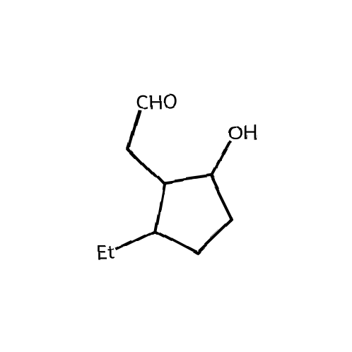 CCC1CCC(O)C1CC=O